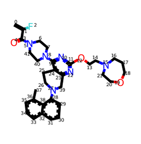 C=C(F)C(=O)N1CCN(c2nc(OCCN3CCCOCC3)nc3c2CCN(c2cccc4cccc(C)c24)C3)CC1